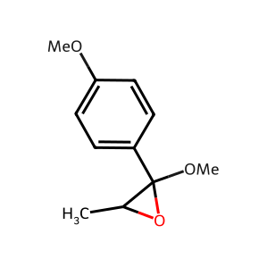 COc1ccc(C2(OC)OC2C)cc1